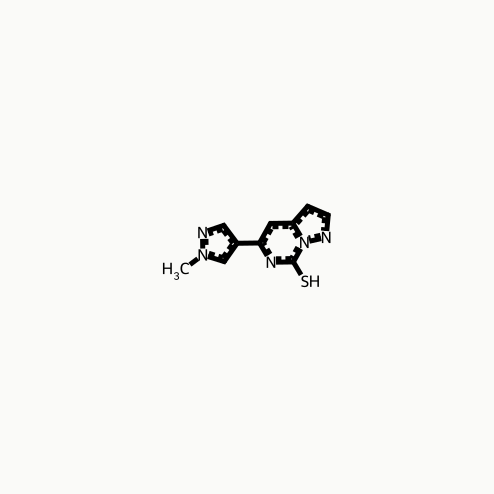 Cn1cc(-c2cc3ccnn3c(S)n2)cn1